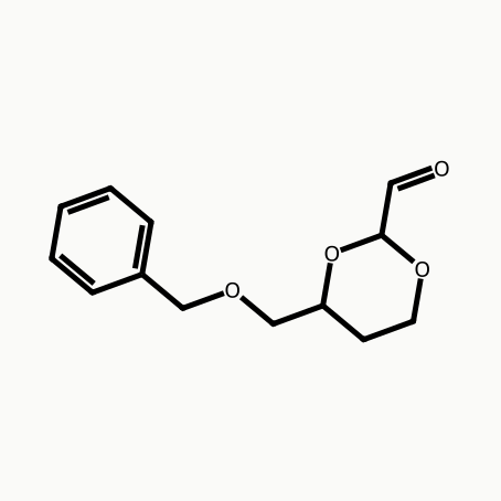 O=CC1OCCC(COCc2ccccc2)O1